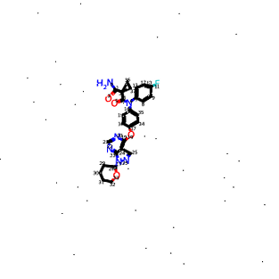 NC(=O)C1(C(=O)N(c2ccc(F)cc2)c2ccc(Oc3ncnc4c3cnn4C3CCCCO3)cc2)CC1